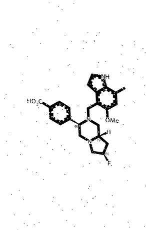 COc1cc(C)c2[nH]ccc2c1CN1C[C@@H]2C[C@@H](F)CN2C[C@H]1c1ccc(C(=O)O)cc1